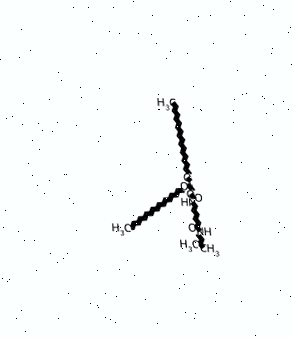 CCCCCCCCCCCCCCCCCCOC[C@H](COC(=O)NCCCCCC(=O)NCCC(C)C)OCCCCCCCCCCCCCCCCCC